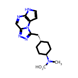 CN(C(=O)O)[C@H]1CC[C@H](Cc2nnc3cnc4[nH]ccc4n23)CC1